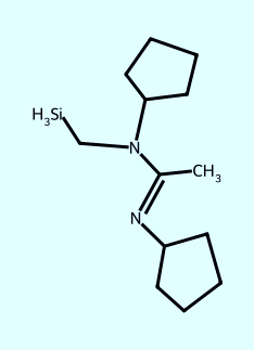 C/C(=N\C1CCCC1)N(C[SiH3])C1CCCC1